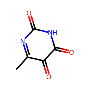 CC1=NC(=O)NC(=O)C1=O